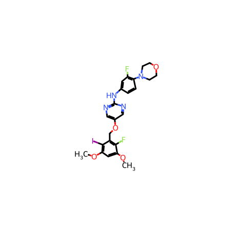 COc1cc(OC)c(I)c(COc2cnc(Nc3ccc(N4CCOCC4)c(F)c3)nc2)c1F